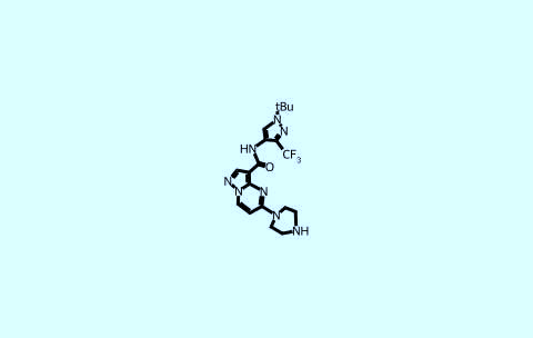 CC(C)(C)n1cc(NC(=O)c2cnn3ccc(N4CCNCC4)nc23)c(C(F)(F)F)n1